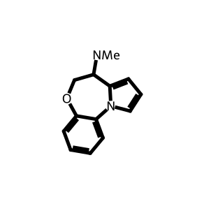 CNC1COc2ccccc2-n2cccc21